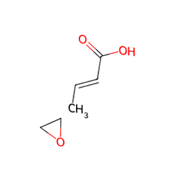 C1CO1.CC=CC(=O)O